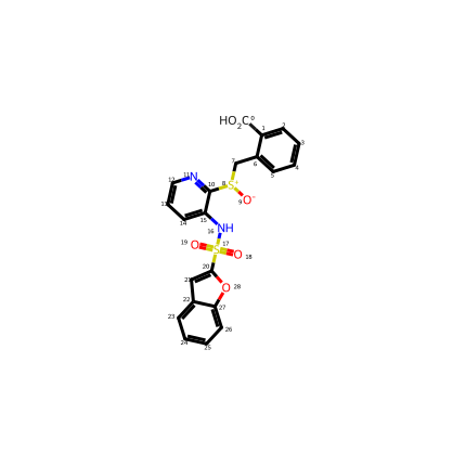 O=C(O)c1ccccc1C[S+]([O-])c1ncccc1NS(=O)(=O)c1cc2ccccc2o1